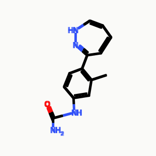 Cc1cc(NC(N)=O)ccc1C1=NNC=CC=C1